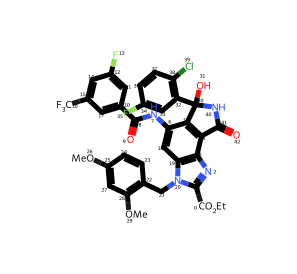 CCOC(=O)c1nc2c3c(c(NC(=O)c4cc(F)cc(C(F)(F)F)c4)cc2n1Cc1ccc(OC)cc1OC)C(O)(c1cc(F)ccc1Cl)NC3=O